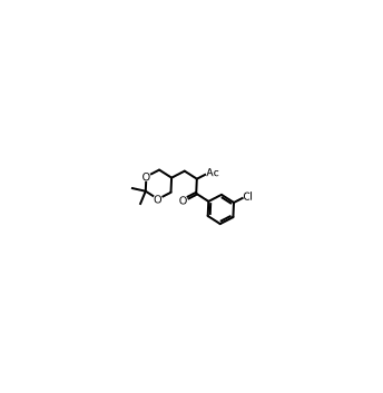 CC(=O)C(CC1COC(C)(C)OC1)C(=O)c1cccc(Cl)c1